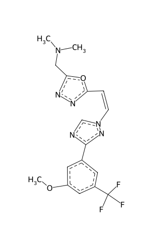 COc1cc(-c2ncn(/C=C\c3nnc(CN(C)C)o3)n2)cc(C(F)(F)F)c1